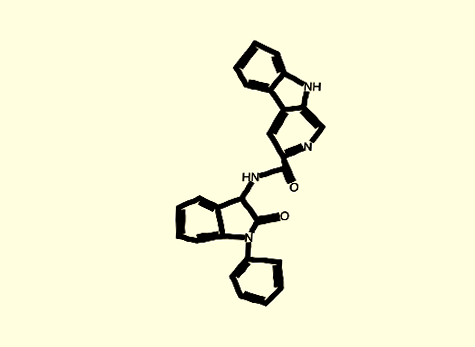 O=C(NC1C(=O)N(c2ccccc2)c2ccccc21)c1cc2c(cn1)[nH]c1ccccc12